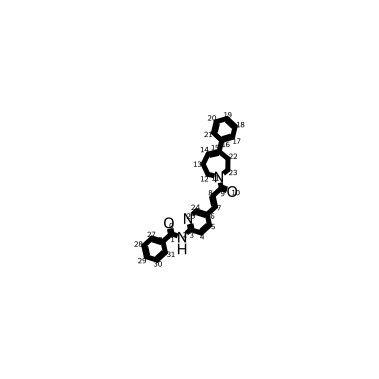 O=C(Nc1ccc(/C=C/C(=O)N2CCC=C(c3ccccc3)CC2)cn1)c1ccccc1